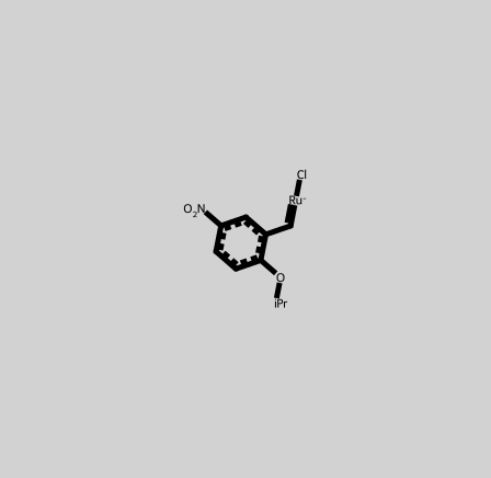 CC(C)Oc1ccc([N+](=O)[O-])cc1[CH]=[Ru-][Cl]